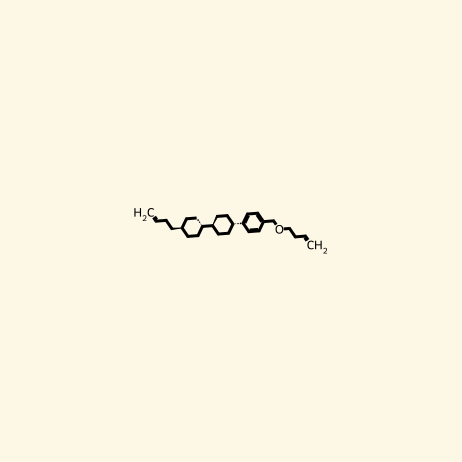 C=CCCOCc1ccc([C@H]2CC[C@H]([C@H]3CC[C@H](CCC=C)CC3)CC2)cc1